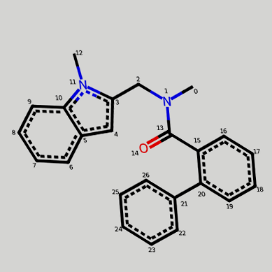 CN(Cc1cc2ccccc2n1C)C(=O)c1ccccc1-c1ccccc1